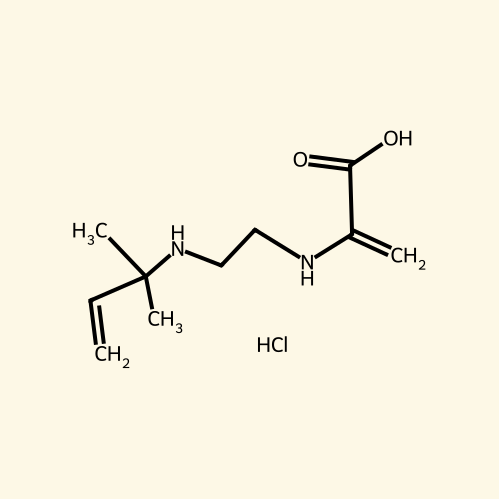 C=CC(C)(C)NCCNC(=C)C(=O)O.Cl